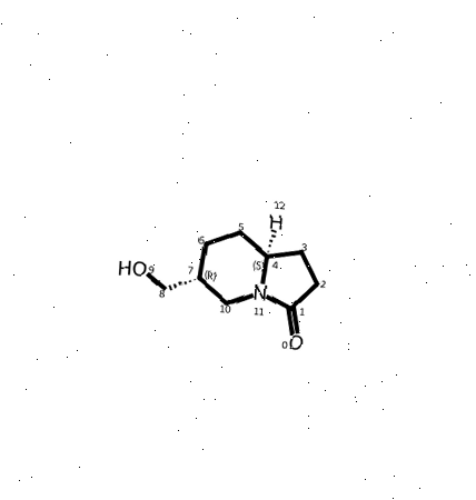 O=C1CC[C@@H]2CC[C@@H](CO)CN12